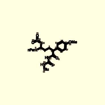 CCCCCC(CCC(C(=O)NC(=S)NC(C)(C)C)c1ccc(OC)cc1)N=S(=O)=O